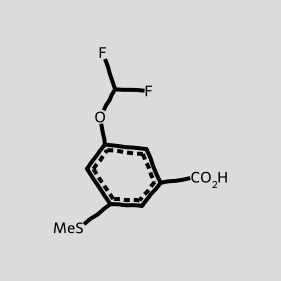 CSc1cc(OC(F)F)cc(C(=O)O)c1